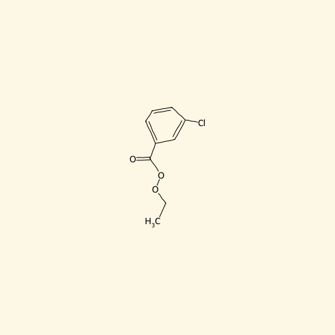 CCOOC(=O)c1cccc(Cl)c1